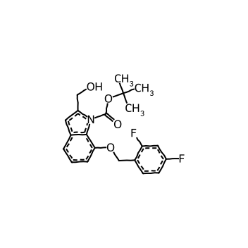 CC(C)(C)OC(=O)n1c(CO)cc2cccc(OCc3ccc(F)cc3F)c21